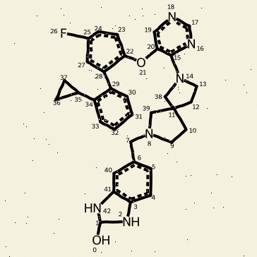 OC1Nc2ccc(CN3CCC4(CCN(c5ncncc5Oc5ccc(F)cc5-c5ccccc5C5CC5)C4)C3)cc2N1